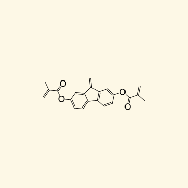 C=C(C)C(=O)Oc1ccc2c(c1)C(=C)c1cc(OC(=O)C(=C)C)ccc1-2